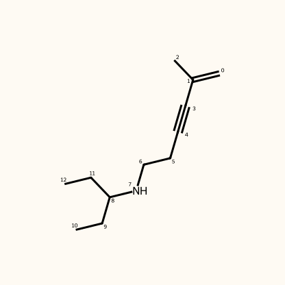 C=C(C)C#CCCNC(CC)CC